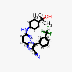 CC(C)(O)C1CCC(Nc2ccc3nc(C#N)c(-c4cccc(C(F)(F)F)c4)n3n2)CC1